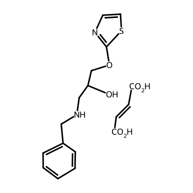 O=C(O)C=CC(=O)O.OC(CNCc1ccccc1)COc1nccs1